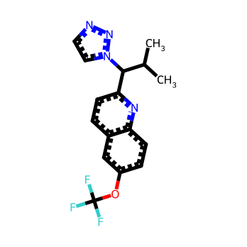 CC(C)C(c1ccc2cc(OC(F)(F)F)ccc2n1)n1ccnn1